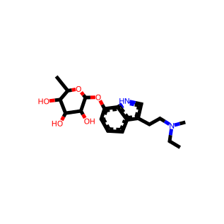 CCN(C)CCc1c[nH]c2c(OC3OC(C)C(O)C(O)C3O)cccc12